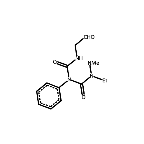 CCN(NC)C(=O)N(C(=O)NC[C]=O)c1ccccc1